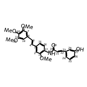 COc1cc(/C=C/c2cc(OC)c(OC)c(OC)c2)ccc1NC(=O)/C=C/c1cccc(O)c1